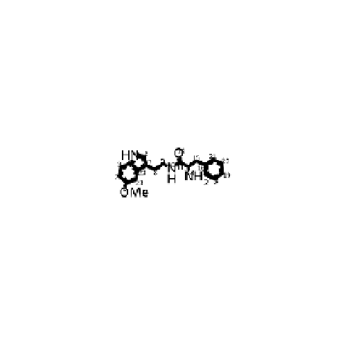 COc1ccc2[nH]cc(CCNC(=O)C(N)Cc3ccccc3)c2c1